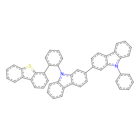 c1ccc(-n2c3ccccc3c3ccc(-c4ccc5c6ccccc6n(-c6ccccc6-c6cccc7c6sc6ccccc67)c5c4)cc32)cc1